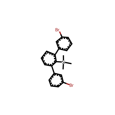 C[Si](C)(C)c1c(-c2cccc(Br)c2)cccc1-c1cccc(Br)c1